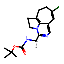 C[C@H](NC(=O)OC(C)(C)C)C1=NC=C2C=C(F)CCC3=C2N1CC3